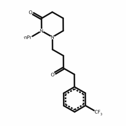 CC[CH]N1C(=O)CCCN1CCC(=O)Cc1cccc(C(F)(F)F)c1